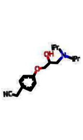 CC(C)N(CC(O)COc1ccc(CC#N)cc1)C(C)C